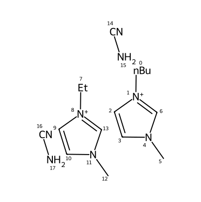 CCCC[n+]1ccn(C)c1.CC[n+]1ccn(C)c1.N#CN.N#CN